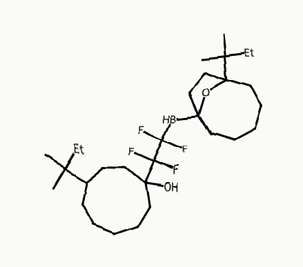 CCC(C)(C)C1CCCCCC(O)(C(F)(F)C(F)(F)BC23CCCCCC(C(C)(C)CC)(CC2)O3)CC1